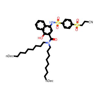 CCCCCCCCCCCCCCCCCCN(CCCCCCCCCCCCCCCCCC)C(=O)c1cc(NS(=O)(=O)c2ccc(S(=O)(=O)CCC#N)cc2)c2ccccc2c1O